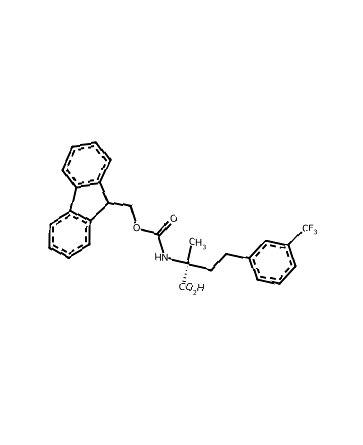 C[C@@](CCc1cccc(C(F)(F)F)c1)(NC(=O)OCC1c2ccccc2-c2ccccc21)C(=O)O